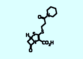 O=C(O)C1=C(SCCC(=O)N2CCCCC2)S[C@@H]2CC(=O)N12